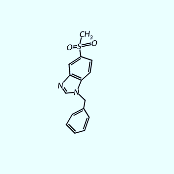 CS(=O)(=O)c1ccc2c(c1)ncn2Cc1ccccc1